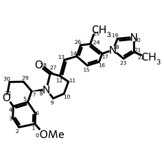 COc1ccc2c(c1)[C@H](N1CCC/C(=C\c3ccc(-n4cnc(C)c4)c(C)c3)C1=O)CCO2